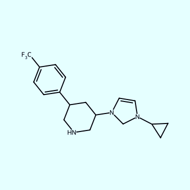 FC(F)(F)c1ccc(C2CNCC(N3C=CN(C4CC4)C3)C2)cc1